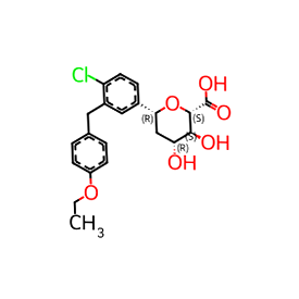 CCOc1ccc(Cc2cc([C@H]3C[C@@H](O)[C@H](O)[C@@H](C(=O)O)O3)ccc2Cl)cc1